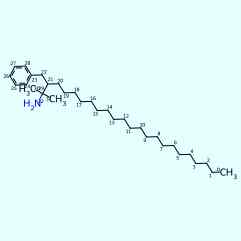 CCCCCCCCCCCCCCCCCCCCCC(Cc1ccccc1)C(C)(C)N